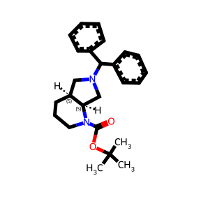 CC(C)(C)OC(=O)N1CCC[C@H]2CN(C(c3ccccc3)c3ccccc3)C[C@H]21